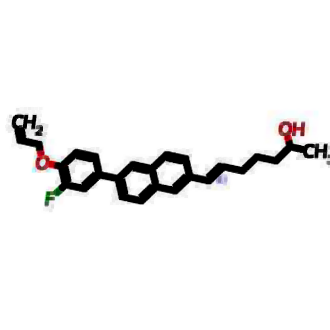 C=CCOc1ccc(-c2ccc3cc(/C=C/CCCC(C)O)ccc3c2)cc1F